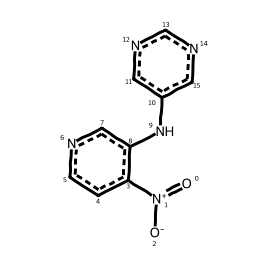 O=[N+]([O-])c1ccncc1Nc1cncnc1